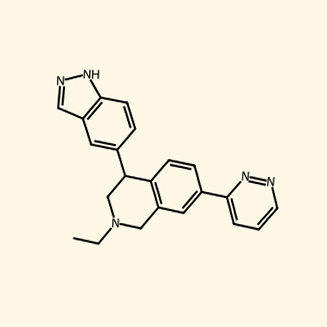 CCN1Cc2cc(-c3cccnn3)ccc2C(c2ccc3[nH]ncc3c2)C1